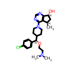 C[C@@H]1C[C@@H](O)c2ncnc(N3CCC([C@@H](OCCN(C)C)c4ccc(Cl)cc4)CC3)c21